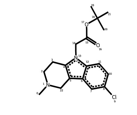 CN1CCc2c(c3cc(Cl)ccc3n2CC(=O)OC(C)(C)C)C1